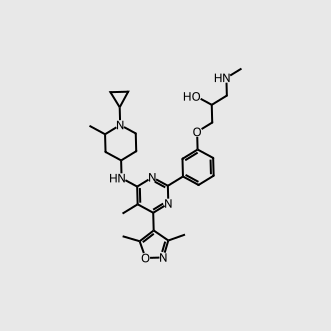 CNCC(O)COc1cccc(-c2nc(NC3CCN(C4CC4)C(C)C3)c(C)c(-c3c(C)noc3C)n2)c1